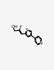 OCC(F)=Cc1cc(-c2ccncc2)cs1